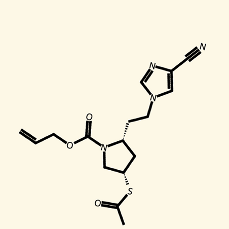 C=CCOC(=O)N1C[C@@H](SC(C)=O)C[C@H]1CCn1cnc(C#N)c1